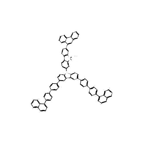 C[Si]1(C)c2cc(-c3cc4ccccc4c4ccccc34)ccc2-c2ccc(-n3c4ccc(-c5ccc(-c6ccc(-c7cccc8ccccc78)cc6)cc5)cc4c4cc(-c5ccc(-c6ccc(-c7cccc8ccccc78)cc6)cc5)ccc43)cc21